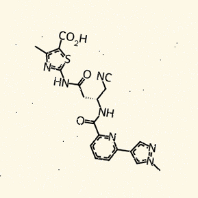 Cc1nc(NC(=O)C[C@H](CC#N)NC(=O)c2cccc(-c3cnn(C)c3)n2)sc1C(=O)O